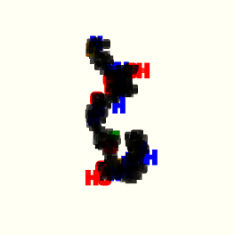 Cc1ncsc1-c1ccc(CNC(=O)[C@@H]2C[C@@H](O)CN2C(=O)[C@@H](NC(=O)CCCC(=O)N2CCN(CC#Cc3ccc(OCCCc4sc(N5CCCc6c5nnc(Nc5nc7ccccc7s5)c6C)nc4C(=O)O)c(F)c3)CC2)C(C)(C)C)cc1